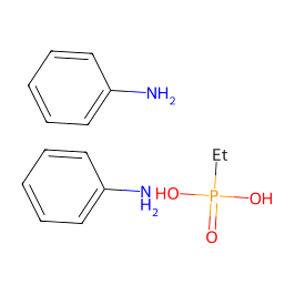 CCP(=O)(O)O.Nc1ccccc1.Nc1ccccc1